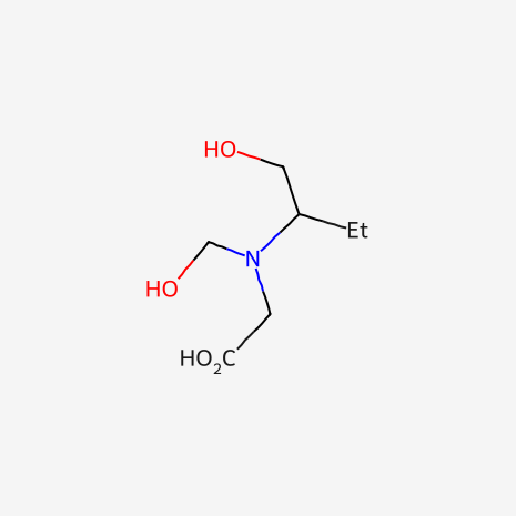 CCC(CO)N(CO)CC(=O)O